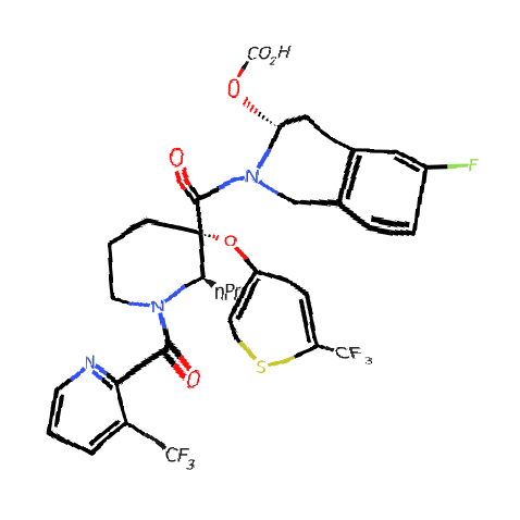 CCC[C@H]1N(C(=O)c2ncccc2C(F)(F)F)CCC[C@@]1(Oc1csc(C(F)(F)F)c1)C(=O)N1Cc2ccc(F)cc2C[C@H]1OC(=O)O